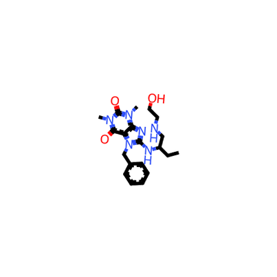 CCC(CNCCO)Nc1nc2c(c(=O)n(C)c(=O)n2C)n1Cc1ccccc1